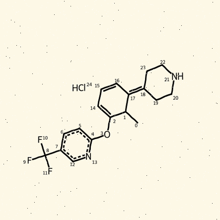 CC1C(Oc2ccc(C(F)(F)F)cn2)=CC=CC1=C1CCNCC1.Cl